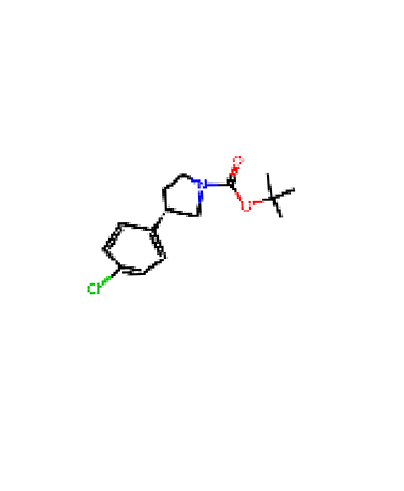 CC(C)(C)OC(=O)N1CC[C@H](c2ccc(Cl)cc2)C1